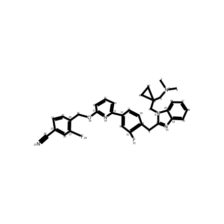 CN(C)CC1(Cn2c(Cc3ccc(-c4cccc(OCc5ccc(C#N)cc5F)n4)cc3F)nc3ccccc32)CC1